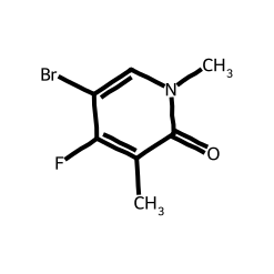 Cc1c(F)c(Br)cn(C)c1=O